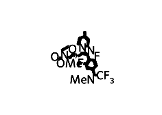 CNC(c1cc(F)c(-c2nc3cc(C)ccn3c2C[C@H]2CN(C(=O)OC)CCO2)c(F)c1)C(F)(F)F